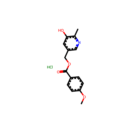 COc1ccc(C(=O)OCc2cnc(C)c(O)c2)cc1.Cl